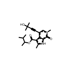 Cc1[nH]c2c(=O)n(C)cc(C#CC(C)(C)O)c2c1C(=O)OC(C)C(C)C